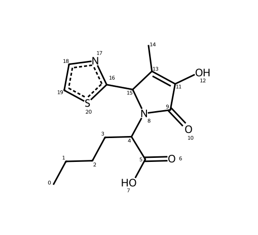 CCCCC(C(=O)O)N1C(=O)C(O)=C(C)C1c1nccs1